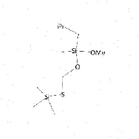 CO[Si](C)(CC(C)C)OCS[Si](C)(C)C